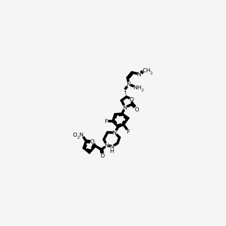 C=N/C=C\N(N)C[C@H]1CN(c2cc(F)c(N3CCNN(C(=O)c4ccc([N+](=O)[O-])o4)CC3)c(F)c2)C(=O)O1